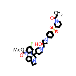 C=CC(=O)N1CCC[C@@H](S(=O)(=O)c2ccc(N3CC(O)(CN4CCC(C(CN5CCC5)(c5cccc(F)c5)[C@H]5CCC[C@@H]5NC(=O)OC)CC4)C3)cc2)C1